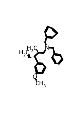 C=C[C@@H](c1cccc(OC)c1)[C@@H](C)CN(Cc1ccccc1)Cc1ccccc1